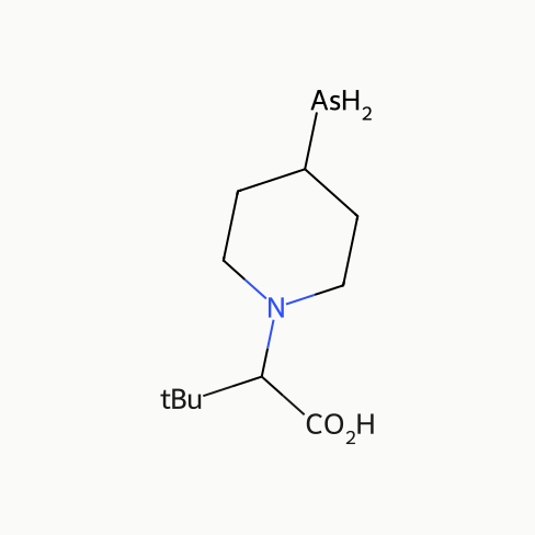 CC(C)(C)C(C(=O)O)N1CCC([AsH2])CC1